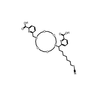 N#CSCCCCCCCC(c1cccc(C(=O)O)n1)N1CCOCCOCCN(Cc2cccc(C(=O)O)n2)CCOCCOCC1